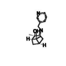 CC1(C)[C@H]2C/C(=N/Cc3cccnc3)[C@](C)(O)[C@@H]1C2